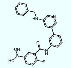 O=C(Nc1cccc(-c2cncc(NCc3ccccc3)c2)c1)c1cc(B(O)O)ccc1F